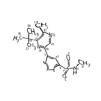 CNS(=O)(=O)c1cccc(-c2cnc(C)c(C(C)(C)C)n2)c1